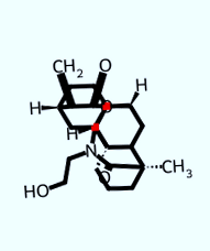 C=C1C(=O)C23CC[C@H]1CC2[C@@]12CCC[C@@]4(C)C(=O)N(CCO)[C@@H]1O[C@@H]3CC24